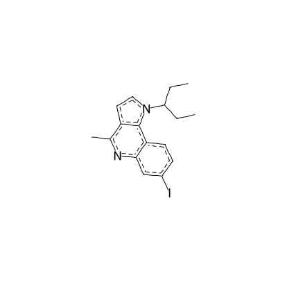 CCC(CC)n1ccc2c(C)nc3cc(I)ccc3c21